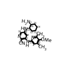 COc1c(C)cc(Nc2cc(N[C@@H]3CCCC[C@@H]3N)cnc2C#N)nc1C